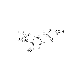 CS(=O)(=O)Nc1cc(OC(=O)CC(=O)O)ccc1O